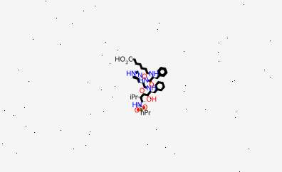 CCCS(=O)(=O)NC[C@@H](C[C@H](O)[C@H](CC1CCCCC1)NC(=O)[C@H](Cc1c[nH]cn1)NC(=O)[C@H](Cc1ccccc1)NC(=O)CCCCCC(=O)O)C(C)C